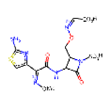 CO/N=C(\C(=O)NC1C(=O)N(S(=O)(=O)O)C1CO/N=C\C(=O)O)c1csc(N)n1